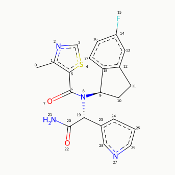 Cc1ncsc1C(=O)N([C@@H]1CCc2cc(F)ccc21)[C@@H](C(N)=O)c1cccnc1